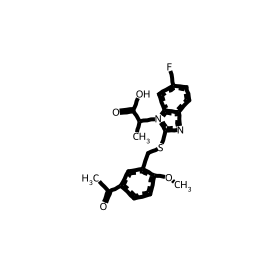 COc1ccc(C(C)=O)cc1CSc1nc2ccc(F)cc2n1C(C)C(=O)O